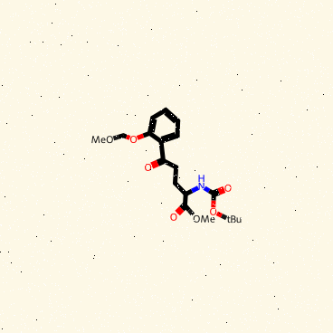 COCOc1ccccc1C(=O)CCC(NC(=O)OC(C)(C)C)C(=O)OC